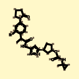 CC(C(=O)Nc1cc([C@H]2CC[C@@H](OC(=O)NC3(C)CC3)C2)[nH]n1)c1ccc(N2CCCC2=O)cc1Br